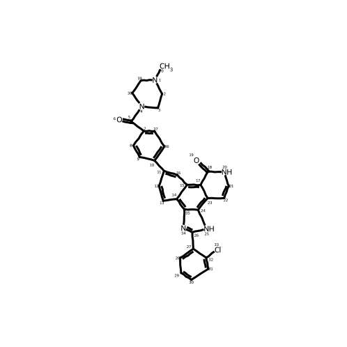 CN1CCN(C(=O)c2ccc(-c3ccc4c(c3)c3c(=O)[nH]ccc3c3[nH]c(-c5ccccc5Cl)nc43)cc2)CC1